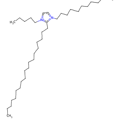 CCCCCCCCCCCCCCCCCCCc1n(CCCCCCCCCCC)cc[n+]1CCCCC